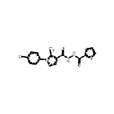 O=C(NNC(=O)c1cnn(-c2ccc(Cl)cc2)c1C(F)(F)F)c1cccs1